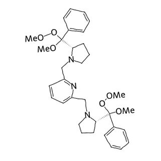 COOC(OC)(c1ccccc1)[C@@H]1CCCN1Cc1cccc(CN2CCC[C@H]2C(OC)(OOC)c2ccccc2)n1